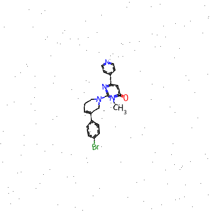 Cn1c(N2CCC=C(c3ccc(Br)cc3)C2)nc(-c2ccncc2)cc1=O